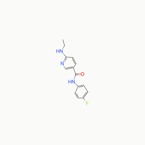 CCNc1ccc(C(=O)Nc2ccc(F)cc2)cn1